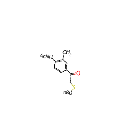 CCCCSCC(=O)c1ccc(NC(C)=O)c(C)c1